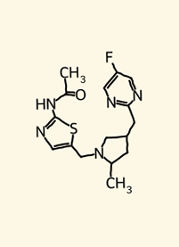 CC(=O)Nc1ncc(CN2CC(Cc3ncc(F)cn3)CC2C)s1